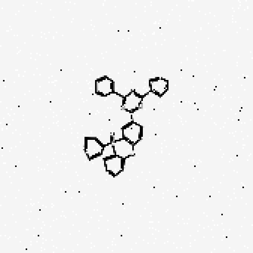 O=P1(c2ccccc2)c2ccccc2Sc2ccc(-c3nc(-c4ccccc4)nc(-c4ccccc4)n3)cc21